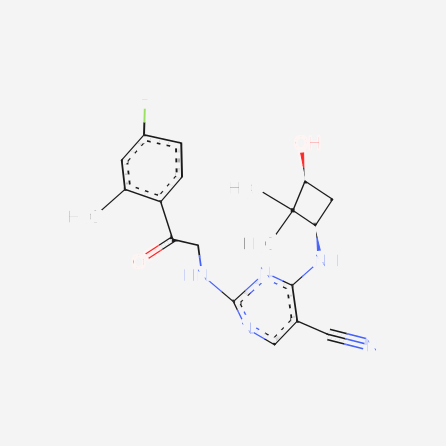 Cc1cc(F)ccc1C(=O)CNc1ncc(C#N)c(N[C@@H]2C[C@H](O)C2(C)C)n1